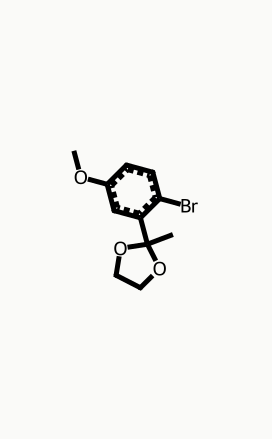 COc1ccc(Br)c(C2(C)OCCO2)c1